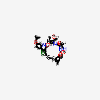 CC[C@@H]1[C@@H]2CN(C(=O)[C@H](C(C)(C)C)NC(=O)O[C@@H]3CC4CC4[C@H]3CCCCC(F)(F)c3cc4ccc(OC5CC5)cc4nc3O2)[C@@H]1C(C)=O